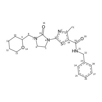 Cc1nc(N2CCN(CC3CCCCO3)C2=O)sc1C(=O)NCc1ccccc1